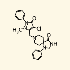 Cn1c(CN2CCC3(CC2)C(=O)NCN3c2ccccc2)c(Cl)c(=O)n1-c1ccccc1